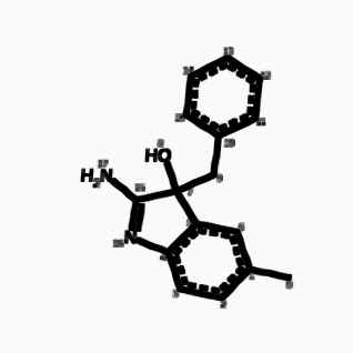 Cc1ccc2c(c1)C(O)(Cc1ccccc1)C(N)=N2